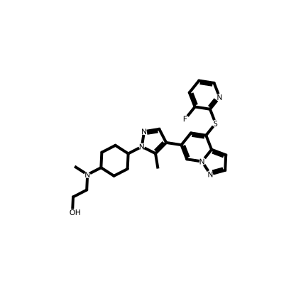 Cc1c(-c2cc(Sc3ncccc3F)c3ccnn3c2)cnn1C1CCC(N(C)CCO)CC1